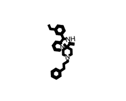 C=C(NC(c1cccc(CC)c1)c1ccccn1)C1(C)CCN(CCCc2ccccc2)CC1